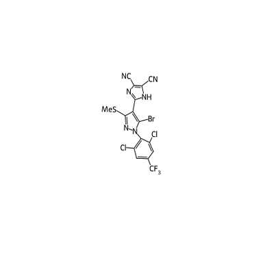 CSc1nn(-c2c(Cl)cc(C(F)(F)F)cc2Cl)c(Br)c1-c1nc(C#N)c(C#N)[nH]1